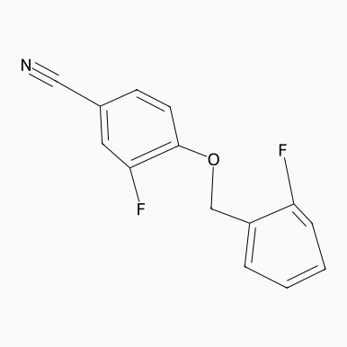 N#Cc1ccc(OCc2ccccc2F)c(F)c1